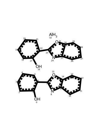 Oc1ccccc1-c1nc2ccccc2o1.Oc1ccccc1-c1nc2ccccc2o1.[AlH3]